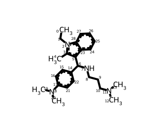 CCn1c(C)c(C(NCCCN(C)C)c2ccc(N(C)C)cc2)c2ccccc21